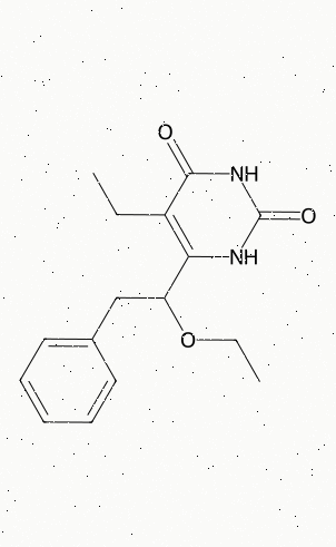 CCOC(Cc1ccccc1)c1[nH]c(=O)[nH]c(=O)c1CC